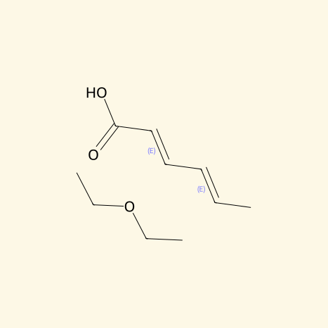 C/C=C/C=C/C(=O)O.CCOCC